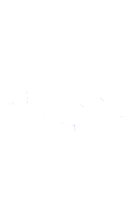 CC(C)(C)[Si](C)(C)OC1CC(Nc2cc(N)ncn2)C1